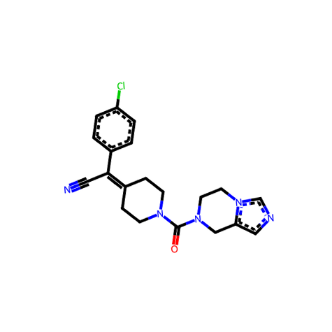 N#CC(=C1CCN(C(=O)N2CCn3cncc3C2)CC1)c1ccc(Cl)cc1